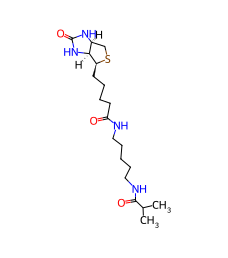 CC(C)C(=O)NCCCCCNC(=O)CCCC[C@@H]1SC[C@@H]2NC(=O)N[C@@H]21